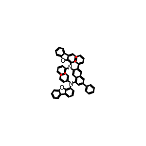 c1ccc(-c2cc(N(c3ccccc3)c3cccc4c3oc3ccccc34)c3cc(N(c4ccccc4)c4cccc5c4oc4ccccc45)c(-c4ccccc4)cc3c2)cc1